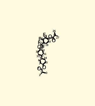 C=C(C)C(=O)Oc1ccc(-c2ccc(OC(F)(F)c3ccc(OC(=O)C(=C)C)c(F)c3F)cc2)cc1